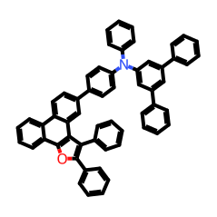 c1ccc(-c2cc(-c3ccccc3)cc(N(c3ccccc3)c3ccc(-c4ccc5c6ccccc6c6oc(-c7ccccc7)c(-c7ccccc7)c6c5c4)cc3)c2)cc1